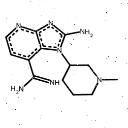 CN1CCCC(n2c(N)nc3nccc(C(=N)N)c32)C1